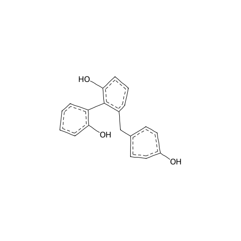 Oc1ccc(Cc2cccc(O)c2-c2ccccc2O)cc1